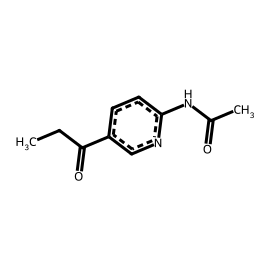 CCC(=O)c1ccc(NC(C)=O)nc1